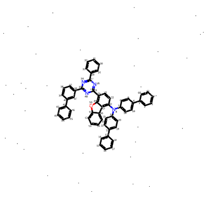 c1ccc(-c2ccc(N(c3ccc(-c4ccccc4)cc3)c3ccc(-c4nc(-c5ccccc5)nc(-c5cccc(-c6ccccc6)c5)n4)c4oc5ccccc5c34)cc2)cc1